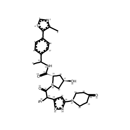 Cc1ncsc1-c1ccc(C(C)NC(=O)[C@@H]2C[C@@H](O)CN2C(=O)C(c2cc(N3CCC(=O)CC3)no2)C(C)C)cc1